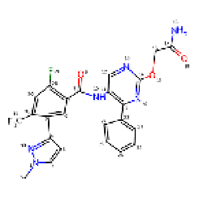 Cn1ccc(-c2cc(C(=O)Nc3cnc(OCC(N)=O)nc3-c3ccccc3)c(F)cc2C(F)(F)F)n1